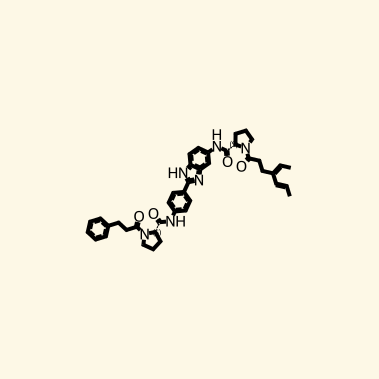 CC=CC(=CC)CCC(=O)N1CCC[C@H]1C(=O)Nc1ccc2[nH]c(-c3ccc(NC(=O)[C@@H]4CCCN4C(=O)CCc4ccccc4)cc3)nc2c1